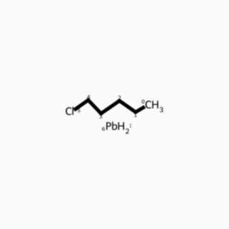 CCCCCCl.[PbH2]